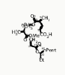 C=C(C)C(=O)OC.C=C(C=CC(=O)O)C(=O)OCCCC.C=CC(=O)OC(CC)CCCCC